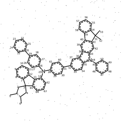 CCCC1(CCC)c2ccccc2-c2c(N(c3ccc(-c4ccccc4)cc3)c3ccc(-c4ccc5c(c4)c4cc6c(cc4n5-c4ccccc4)C(C)(C)c4ccccc4-6)cc3)cccc21